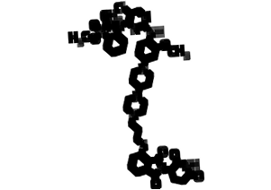 COc1cc(N2CCC(N3CCN(CCCSc4cccc5c4C(=O)N(C4CCC(=O)NC4=O)C5=O)CC3)CC2)ccc1Nc1ncc(Cl)c(Nc2ccccc2P(=O)(OC)OC)n1